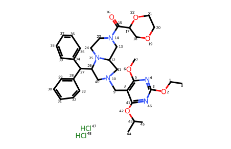 CCOc1nc(OC)c(CN2CC3CN(C(=O)C4COCCO4)CCN3C(C(c3ccccc3)c3ccccc3)C2)c(OC(C)C)n1.Cl.Cl